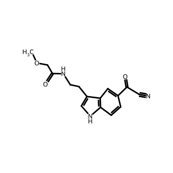 COCC(=O)NCCc1c[nH]c2ccc(C(=O)C#N)cc12